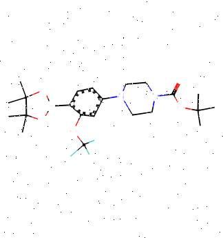 CC(C)(C)OC(=O)N1CCN(c2ccc(B3OC(C)(C)C(C)(C)O3)c(OC(F)(F)F)c2)CC1